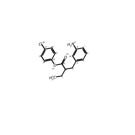 CCC(Cc1cccc(N)c1)C(=O)Oc1ccc(Cl)cc1